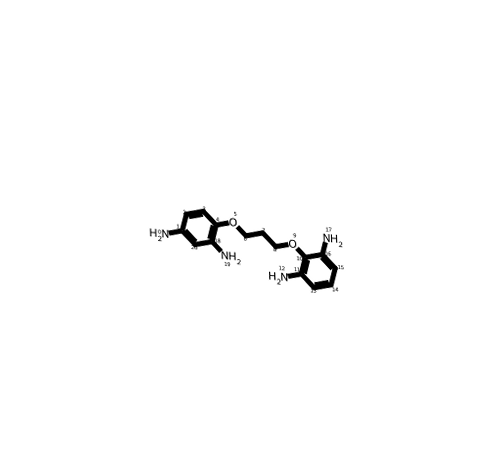 Nc1ccc(OCCCOc2c(N)cccc2N)c(N)c1